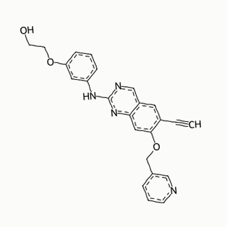 C#Cc1cc2cnc(Nc3cccc(OCCO)c3)nc2cc1OCc1cccnc1